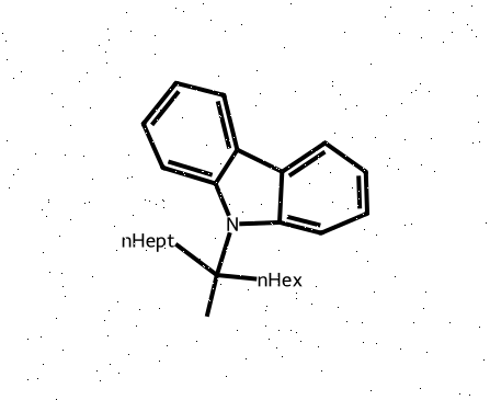 CCCCCCCC(C)(CCCCCC)n1c2ccccc2c2ccccc21